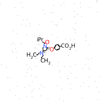 C=CCN(CC=C)[C@H]1C[C@@H](COc2ccc(C(=O)O)cc2)N(C(=O)CC(C)C)C1